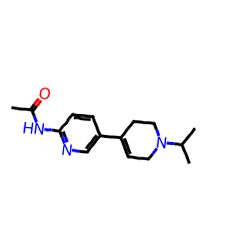 CC(=O)Nc1ccc(C2=CCN(C(C)C)CC2)cn1